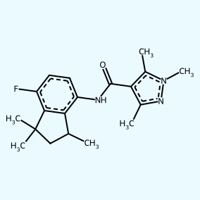 Cc1nn(C)c(C)c1C(=O)Nc1ccc(F)c2c1C(C)CC2(C)C